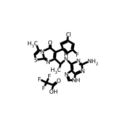 Cc1csc2nc(C(C)Nc3nc(N)nc4[nH]cnc34)c(-c3cc(F)cc(Cl)c3)c(=O)n12.O=C(O)C(F)(F)F